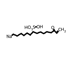 C=CC(=O)CCCCCCCCCCC[CH2][Na].O=S(=O)(O)O